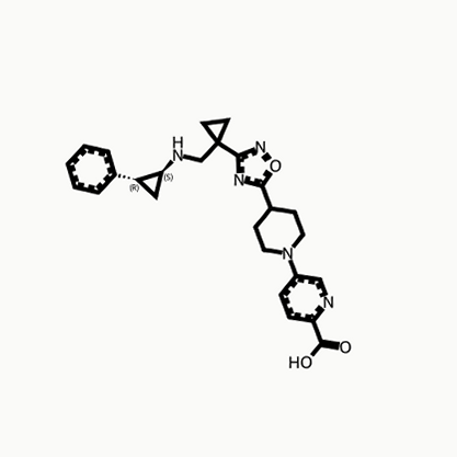 O=C(O)c1ccc(N2CCC(c3nc(C4(CN[C@H]5C[C@@H]5c5ccccc5)CC4)no3)CC2)cn1